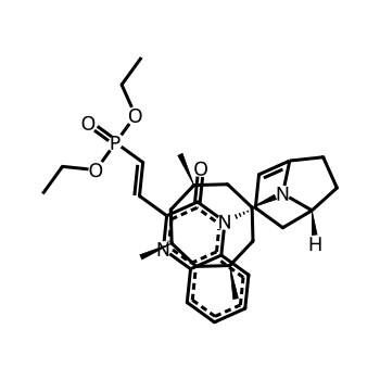 CCOP(=O)(/C=C/c1nc2ccccc2n([C@@H]2C=C3CC[C@H](C2)N3[C@@H]2C[C@H](C)C[C@H](C)C[C@H](C)C2)c1=O)OCC